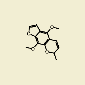 COc1c2c(c(OC)c3occc13)OC(C)C=C2